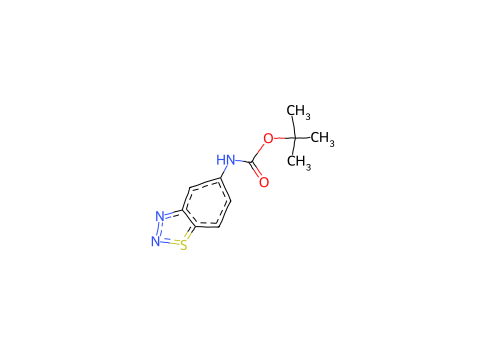 CC(C)(C)OC(=O)Nc1ccc2snnc2c1